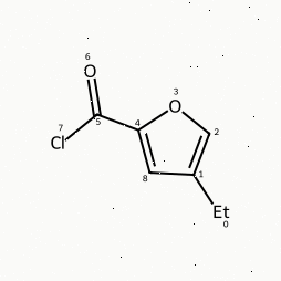 CCc1coc(C(=O)Cl)c1